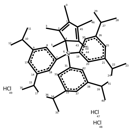 CC1=C(C)C(C)([Si](c2cc(C(C)C)cc(C(C)C)c2)(c2cc(C(C)C)cc(C(C)C)c2)c2cc(C(C)C)cc(C(C)C)c2)[C]([Ti])=C1C.Cl.Cl.Cl